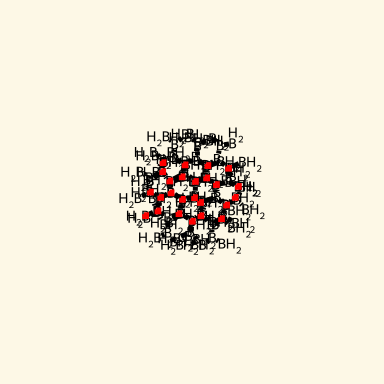 BB(B)B(B(B)B)B(B(B)B)B(B(B(B(B)B)B(B)B)B(B(B)B)B(B)B)B(B(B(B(B(B)B)B(B)B)B(B(B)B)B(B)B)B(B(B(B)B)B(B)B)B(B(B)B)B(B)B)B(B(B(B(B(B)B)B(B)B)B(B(B)B)B(B)B)B(B(B(B)B)B(B)B)B(B(B)B)B(B)B)B(B(B(B(B)B)B(B)B)B(B(B)B)B(B)B)B(B(B(B)B)B(B)B)B(B(B)B)B(B)B